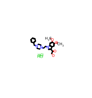 COc1cc2c(C(=O)C=O)cn(CCN3CCN(Cc4ccccc4)CC3)c2cc1OC.Cl.Cl